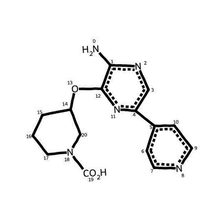 Nc1ncc(-c2ccncc2)nc1OC1CCCN(C(=O)O)C1